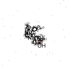 CCOc1ccc(N(C(=O)OC(C)(C)C)c2c3c(nc4ccnn24)N([C@H]2CCCN(C(=O)O)C2)C(CO[Si](C)(C)C(C)(C)C)C3)cc1